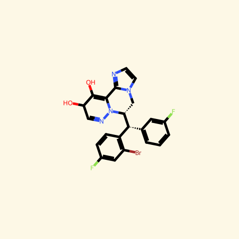 OC1=C2c3nccn3C[C@H]([C@H](c3cccc(F)c3)c3ccc(F)cc3Br)N2N=CC1O